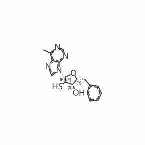 Cc1ncnc2c1ncn2[C@@H]1O[C@H](Cc2ccccc2)[C@@H](O)[C@H]1S